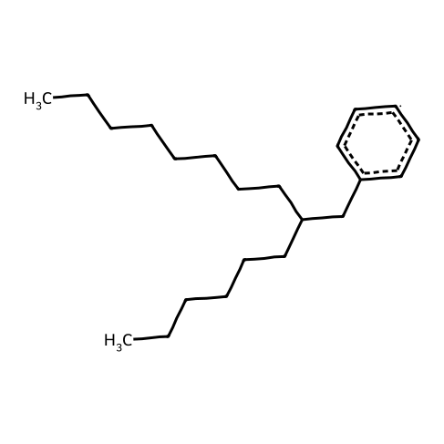 CCCCCCCCC(CCCCCC)Cc1cc[c]cc1